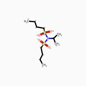 CCCCS(=O)(=O)N(C(C)C)S(=O)(=O)CCCC